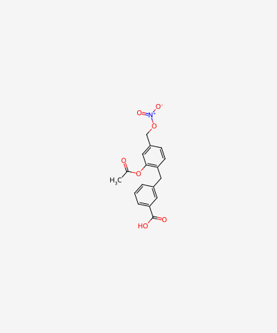 CC(=O)Oc1cc(CO[N+](=O)[O-])ccc1Cc1cccc(C(=O)O)c1